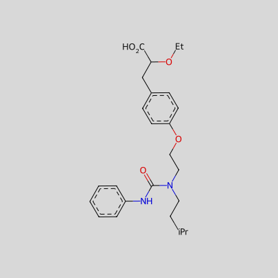 CCOC(Cc1ccc(OCCN(CCC(C)C)C(=O)Nc2ccccc2)cc1)C(=O)O